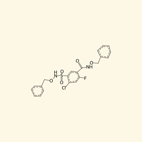 O=C(NOCc1ccccc1)c1cc(S(=O)(=O)NOCc2ccccc2)c(Cl)cc1F